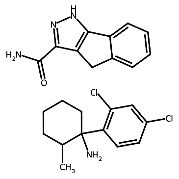 CC1CCCCC1(N)c1ccc(Cl)cc1Cl.NC(=O)c1n[nH]c2c1Cc1ccccc1-2